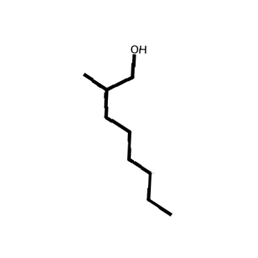 CC[CH]CCCC(C)CO